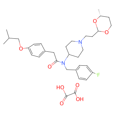 CC(C)COc1ccc(CC(=O)N(Cc2ccc(F)cc2)C2CCN(CCC3OCC[C@@H](C)O3)CC2)cc1.O=C(O)C(=O)O